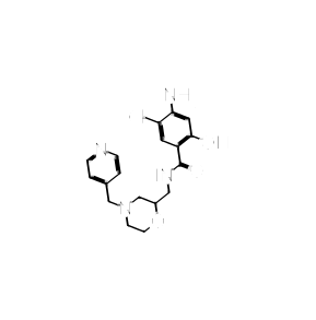 Nc1cc(O)c(C(=O)NCC2CN(Cc3ccncc3)CCO2)cc1Cl